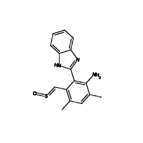 Cc1cc(C)c(C=S=O)c(-c2nc3ccccc3[nH]2)c1N